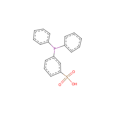 O=S(=O)(O)c1cccc(P(c2ccccc2)c2ccccc2)c1